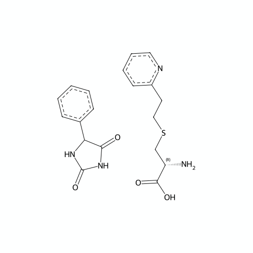 N[C@@H](CSCCc1ccccn1)C(=O)O.O=C1NC(=O)C(c2ccccc2)N1